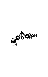 CC(C)CN(C(=O)Oc1ccc(-c2cc(O)no2)cc1)c1ccc2nc(S)sc2c1